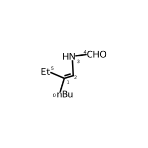 CCCC/C(=C/NC=O)CC